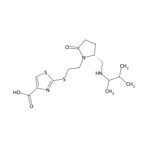 CC(C)C(C)NC[C@H]1CCC(=O)N1CCSc1nc(C(=O)O)cs1